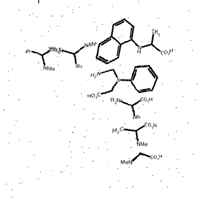 CC(Nc1cccc2ccccc12)C(=O)O.CCC(C)C(NC)C(=O)O.CCCC(N)C(=O)O.CNC(C(=O)O)C(C)C.CNC(C)C(=O)O.CNCC(=O)O.NCN(CC(=O)O)c1ccccc1